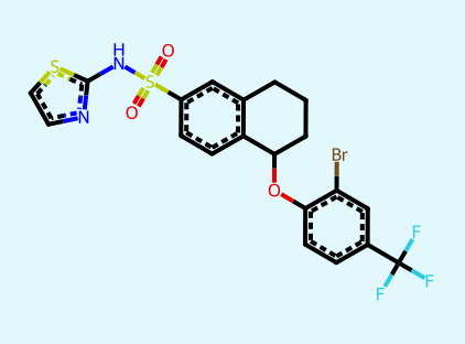 O=S(=O)(Nc1nccs1)c1ccc2c(c1)CCCC2Oc1ccc(C(F)(F)F)cc1Br